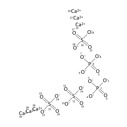 O=P([O-])([O-])[O-].O=P([O-])([O-])[O-].O=S(=O)([O-])[O-].O=S(=O)([O-])[O-].O=S(=O)([O-])[O-].[Ca+2].[Ca+2].[Ca+2].[Ca+2].[Ca+2].[Ca+2]